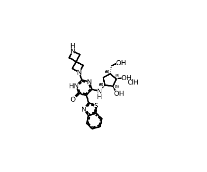 Cl.O=c1[nH]c(N2CC3(CNC3)C2)nc(N[C@@H]2C[C@H](CO)[C@@H](O)[C@H]2O)c1-c1nc2ccccc2s1